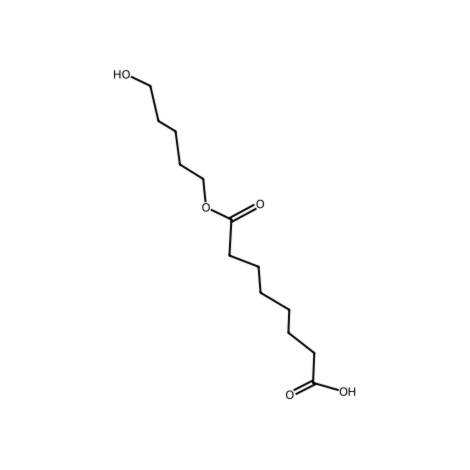 O=C(O)CCCCCCC(=O)OCCCCCO